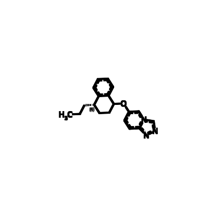 CCC[C@H]1CCC(Oc2ccc3nncn3c2)c2ccccc21